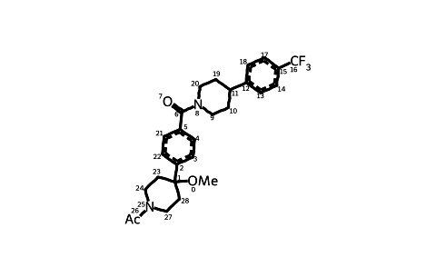 COC1(c2ccc(C(=O)N3CCC(c4ccc(C(F)(F)F)cc4)CC3)cc2)CCN(C(C)=O)CC1